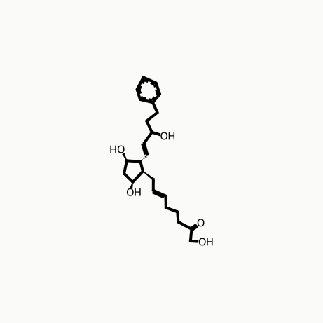 O=C(CO)CCCC=CC[C@@H]1[C@@H](C=CC(O)CCc2ccccc2)[C@H](O)C[C@@H]1O